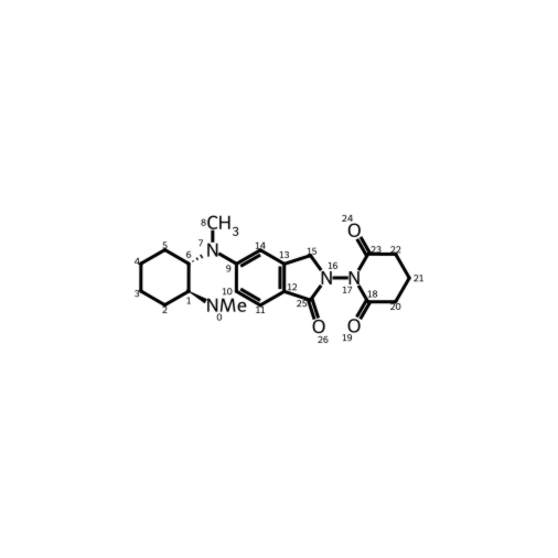 CN[C@H]1CCCC[C@@H]1N(C)c1ccc2c(c1)CN(N1C(=O)CCCC1=O)C2=O